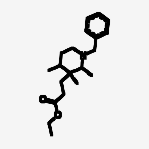 CCOC(=O)CCC1(C)C(C)CCN(Cc2ccccc2)C1C